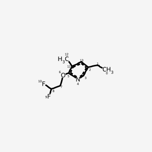 C[CH]c1cnc(OCC(F)F)c(C)c1